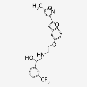 Cc1cc(-c2cc3cc(OCCNCC(O)c4cccc(C(F)(F)F)c4)ccc3o2)no1